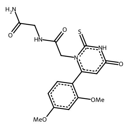 COc1ccc(-c2cc(=O)[nH]c(=S)n2CC(=O)NCC(N)=O)c(OC)c1